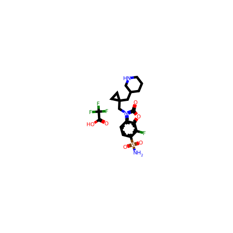 NS(=O)(=O)c1ccc2c(oc(=O)n2CC2(CC3CCCNC3)CC2)c1F.O=C(O)C(F)(F)F